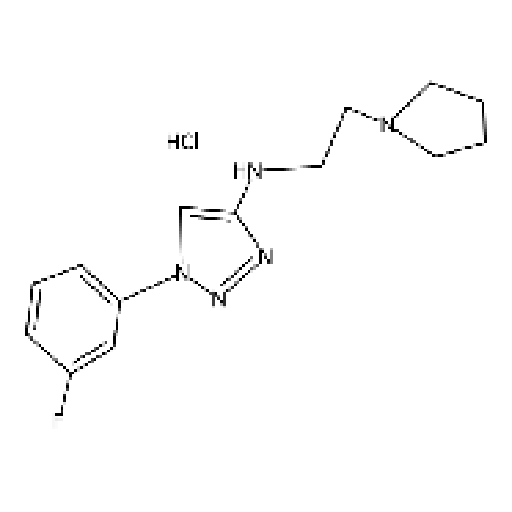 Cl.Fc1cccc(-n2cc(NCCN3CCCC3)nn2)c1